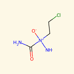 [NH][N+]([O-])(CCCl)C(N)=O